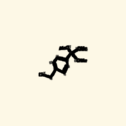 C[O][Ti]([O]C)([O]C)[c]1ccc(CCl)cc1